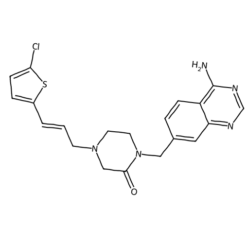 Nc1ncnc2cc(CN3CCN(CC=Cc4ccc(Cl)s4)CC3=O)ccc12